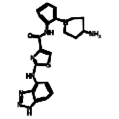 NC1CCN(c2ccccc2NC(=O)c2csc(Nc3cccc4[nH]nnc34)n2)CC1